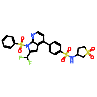 O=S1(=O)CCC(NS(=O)(=O)c2ccc(-c3ccnc4c3cc(C(F)F)n4S(=O)(=O)c3ccccc3)cc2)C1